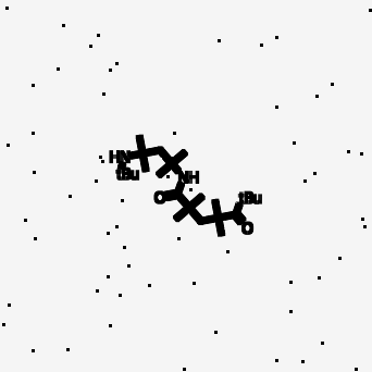 CC(C)(C)NC(C)(C)CC(C)(C)NC(=O)C(C)(C)CC(C)(C)C(=O)C(C)(C)C